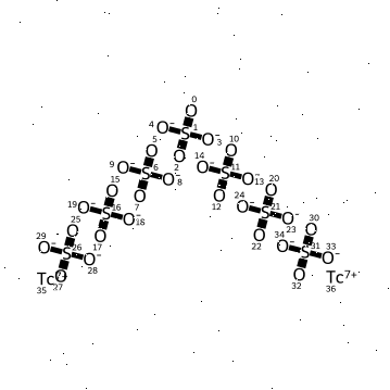 O=S(=O)([O-])[O-].O=S(=O)([O-])[O-].O=S(=O)([O-])[O-].O=S(=O)([O-])[O-].O=S(=O)([O-])[O-].O=S(=O)([O-])[O-].O=S(=O)([O-])[O-].[Tc+7].[Tc+7]